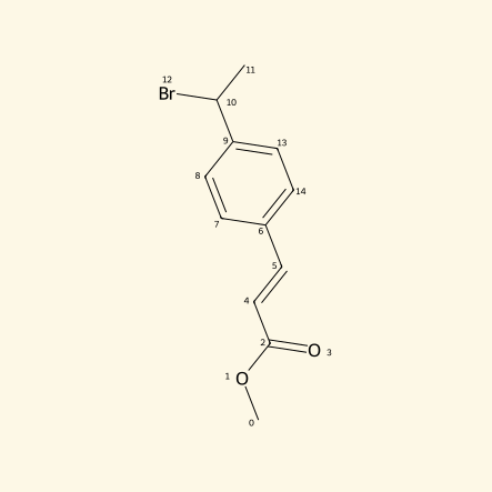 COC(=O)C=Cc1ccc(C(C)Br)cc1